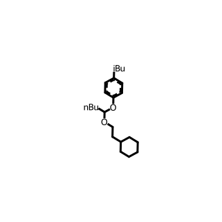 CCCCC(OCCC1CCCCC1)Oc1ccc(C(C)CC)cc1